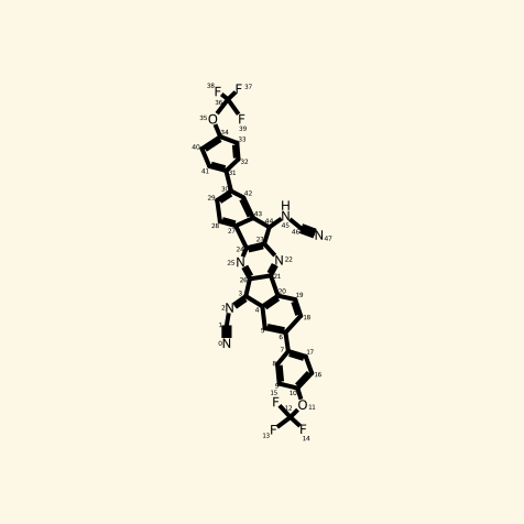 N#C/N=C1\c2cc(-c3ccc(OC(F)(F)F)cc3)ccc2-c2nc3c(nc21)-c1ccc(-c2ccc(OC(F)(F)F)cc2)cc1C3NC#N